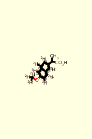 [2H]c1c(C(C)C(=O)O)c([2H])c2c([2H])c([2H])c(OC([2H])([2H])[2H])c([2H])c2c1[2H]